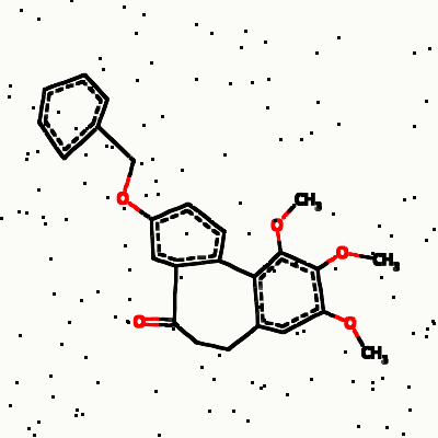 COc1cc2c(c(OC)c1OC)-c1ccc(OCc3ccccc3)cc1C(=O)CC2